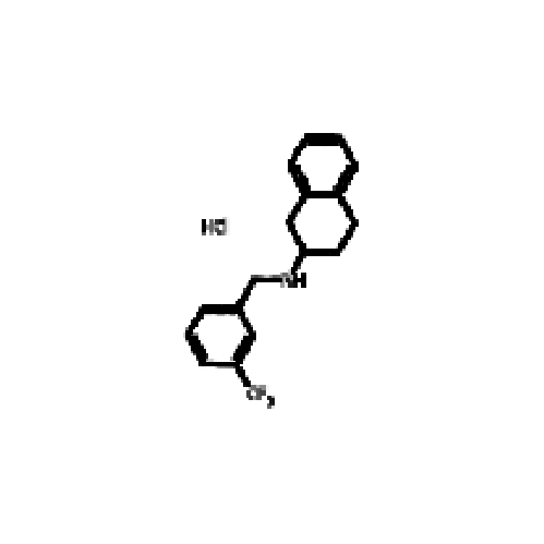 Cl.FC(F)(F)c1cccc(CNC2CCc3ccccc3C2)c1